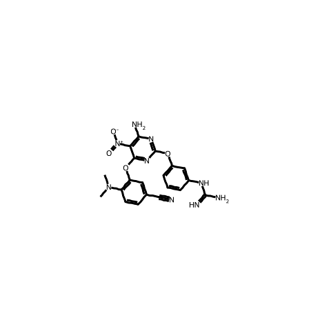 CN(C)c1ccc(C#N)cc1Oc1nc(Oc2cccc(NC(=N)N)c2)nc(N)c1[N+](=O)[O-]